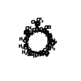 CCC[C@H]1C(=O)N[C@@H]([C@@H](C)CC)C(=O)N(C)CC(=O)N(C)CC(=O)N(C)[C@@H](Cc2ccc(C)cc2)C(=O)N(C)CC(=O)N[C@@H](CCc2ccc(C(F)(F)F)c(Cl)c2)C(=O)N2C[C@H](OCC)C[C@H]2C(=O)NC2(CCCC2)C(=O)N(C)[C@@H](C2CCCCC2)C(=O)N(C)[C@H](C(=O)N2CCCC2)CC(=O)N1C